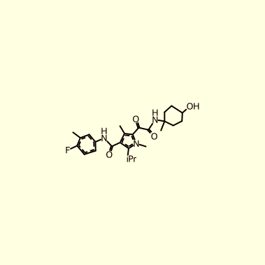 Cc1cc(NC(=O)c2c(C)c(C(=O)C(=O)NC3(C)CCC(O)CC3)n(C)c2C(C)C)ccc1F